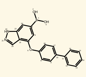 OB(O)c1cc(Oc2ccc(-c3ccccc3)cc2)c2cn[nH]c2c1